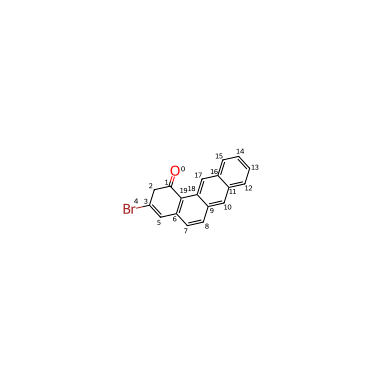 O=C1CC(Br)=Cc2ccc3cc4ccccc4cc3c21